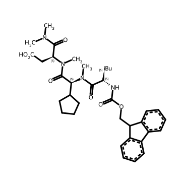 CC[C@H](C)[C@H](NC(=O)OCC1c2ccccc2-c2ccccc21)C(=O)N(C)[C@H](C(=O)N(C)[C@@H](CC(=O)O)C(=O)N(C)C)C1CCCC1